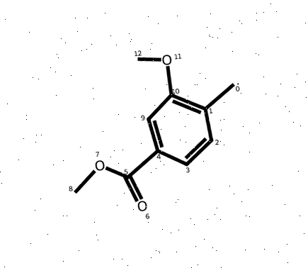 [CH2]c1ccc(C(=O)OC)cc1OC